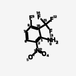 Nc1c([N+](=O)[O-])ccc(F)c1C(F)(F)F